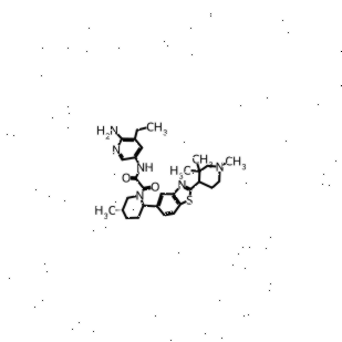 CCc1cc(NC(=O)C(=O)N2C[C@@H](C)CCC2c2ccc3sc(C4CCN(C)CC4(C)C)nc3c2)cnc1N